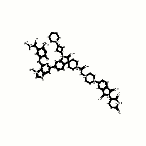 Cc1cc(F)c(Nc2nc(-c3ccc4c(c3)N(C3CC(N5CCCCC5)C3)C(=O)C43CCN(C(=O)CN4CCN(c5ccc6c(c5)C(=O)N(C5CCC(=O)NC5=O)C6=O)CC4)CC3)cc3ncn(C(C)C)c23)cc1C(=O)NC(C)C